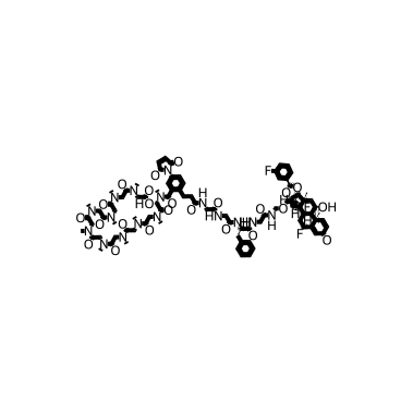 CN(CC(=O)O)C(=O)CN(C)C(=O)CN(C)C(=O)CN(C)C(=O)CN(C)C(=O)CN(C)C(=O)CN(C)C(=O)CN(C)C(=O)CN(C)C(=O)CN(C)C(=O)c1cc(N2C(=O)C=CC2=O)ccc1CCC(=O)NCC(=O)NCC(=O)N[C@@H](Cc1ccccc1)C(=O)NCC(=O)NCOCC(=O)[C@@]12O[C@H](c3cccc(F)c3)O[C@@H]1C[C@H]1[C@@H]3C[C@H](F)C4=CC(=O)C=C[C@]4(C)[C@@]3(F)[C@@H](O)C[C@@]12C